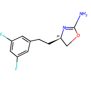 NC1=N[C@H](CCc2cc(F)cc(F)c2)CO1